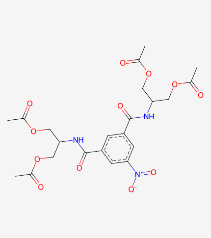 CC(=O)OCC(COC(C)=O)NC(=O)c1cc(C(=O)NC(COC(C)=O)COC(C)=O)cc([N+](=O)[O-])c1